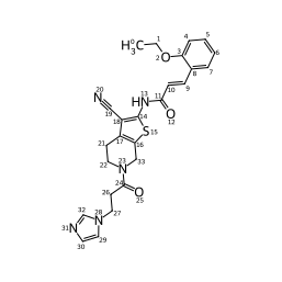 CCOc1ccccc1C=CC(=O)Nc1sc2c(c1C#N)CCN(C(=O)CCn1ccnc1)C2